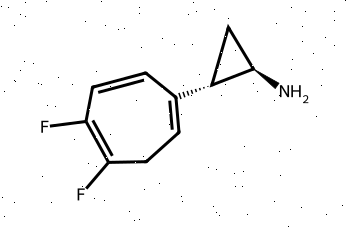 N[C@@H]1C[C@H]1C1=CCC(F)=C(F)C=C1